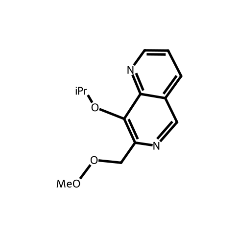 COOCc1ncc2cccnc2c1OC(C)C